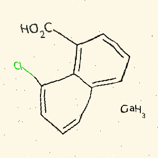 O=C(O)c1cccc2cccc(Cl)c12.[GaH3]